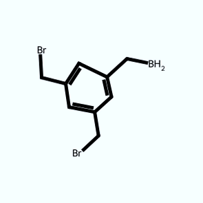 BCc1cc(CBr)cc(CBr)c1